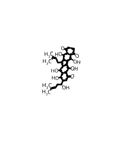 CC(C)=CCc1c2c(O)c3c(O)c([C@H](O)CC=C(C)C)cc(=O)c3c(O)c2c2c(O)c3c(=O)ccc(=O)c3c(O)c12